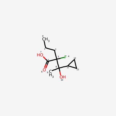 CCCC(F)(C(=O)O)C(C)(O)C1CC1